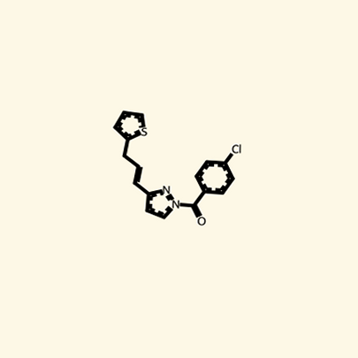 O=C(c1ccc(Cl)cc1)n1ccc(C=CCc2cccs2)n1